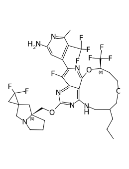 CCCC1CCCC[C@H](C(F)(F)F)Oc2nc(-c3cc(N)nc(C)c3C(F)(F)F)c(F)c3nc(OC[C@@]45CCCN4CC4(CC4(F)F)C5)nc(c23)NC1